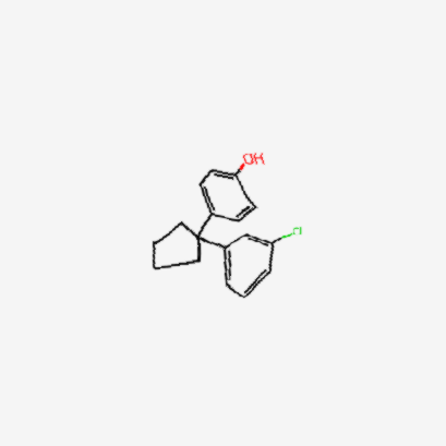 Oc1ccc(C2(c3cccc(Cl)c3)CCCC2)cc1